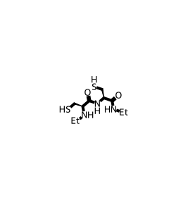 CCNC(=O)[C@H](CS)NC(=O)[C@H](CS)NCC